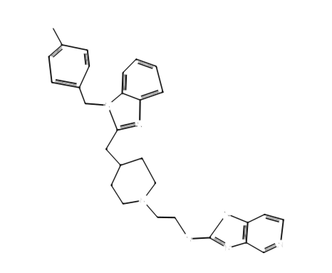 Fc1ccc(Cn2c(CC3CCN(CCNc4nc5cnccc5[nH]4)CC3)nc3ccccc32)cc1